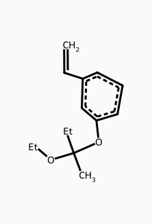 C=Cc1cccc(OC(C)(CC)OCC)c1